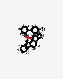 Brc1ccc2c(c1)C1(c3cc(Br)ccc3-c3ccccc3-2)c2ccccc2-c2ccc3c(sc4ccccc43)c21